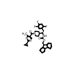 Cc1nc(C2CC2)ncc1C(=O)N1CCC([C@@H](Cc2cc(F)c(F)cc2F)NC(=O)OCC2c3ccccc3-c3ccccc32)CC1